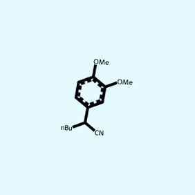 CCCCC(C#N)c1ccc(OC)c(OC)c1